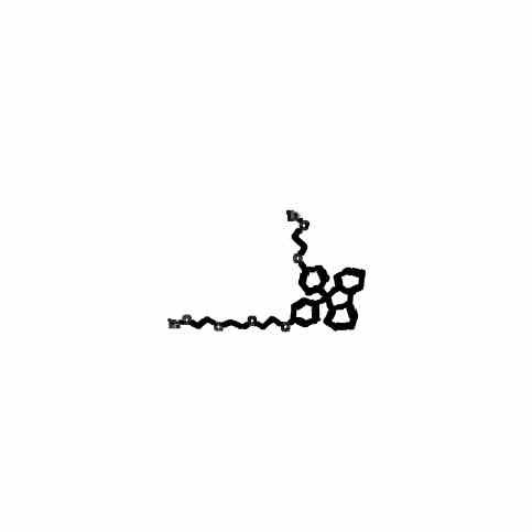 CCOCCOCCOCCOc1ccc(C2(c3ccc(OCCOCC)cc3)c3ccccc3-c3ccccc32)cc1